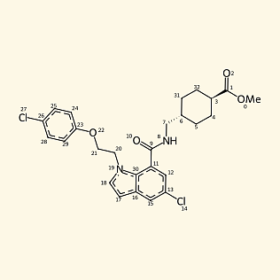 COC(=O)[C@H]1CC[C@H](CNC(=O)c2cc(Cl)cc3ccn(CCOc4ccc(Cl)cc4)c23)CC1